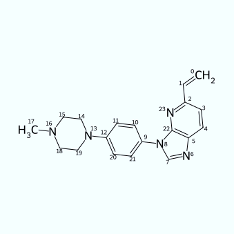 C=Cc1ccc2ncn(-c3ccc(N4CCN(C)CC4)cc3)c2n1